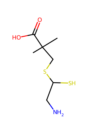 CC(C)(CSC(S)CN)C(=O)O